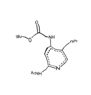 CCCc1cnc(NC(C)=O)cc1NC(=O)OC(C)(C)C